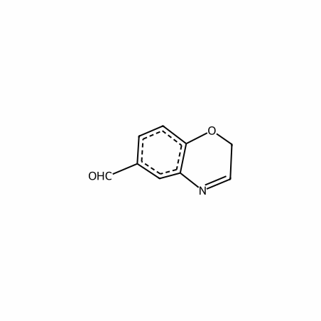 O=Cc1ccc2c(c1)N=CCO2